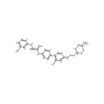 CN1CCN(CCOc2ccc(-c3ccc(CC(=O)NCc4ccnc(F)n4)cc3)c(F)n2)CC1